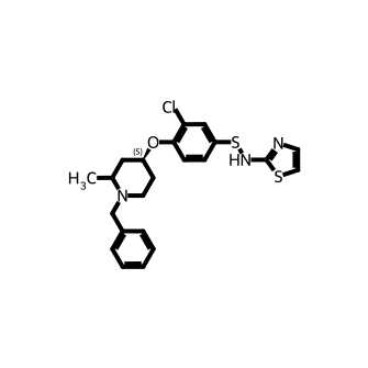 CC1C[C@@H](Oc2ccc(SNc3nccs3)cc2Cl)CCN1Cc1ccccc1